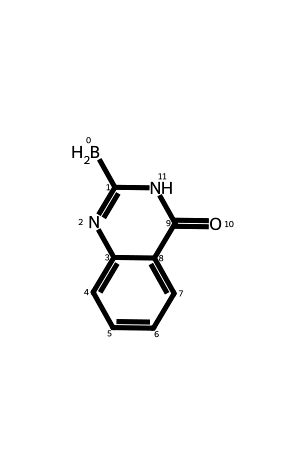 Bc1nc2ccccc2c(=O)[nH]1